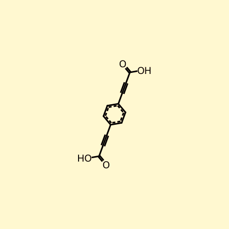 O=C(O)C#Cc1ccc(C#CC(=O)O)cc1